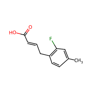 Cc1ccc(C/C=C/C(=O)O)c(F)c1